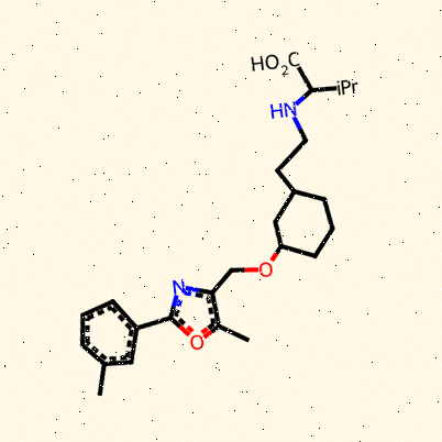 Cc1cccc(-c2nc(COC3CCCC(CCNC(C(=O)O)C(C)C)C3)c(C)o2)c1